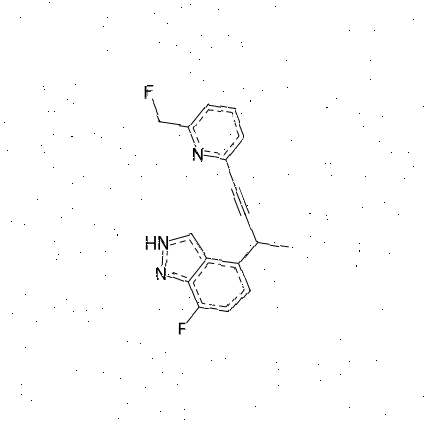 CC(C#Cc1cccc(CF)n1)c1ccc(F)c2n[nH]cc12